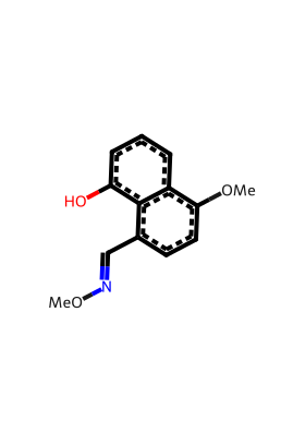 CO/N=C/c1ccc(OC)c2cccc(O)c12